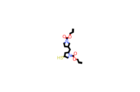 C=CCOC(=O)N1CCC(CC2CC(S)CN2C(=O)OCC=C)C1